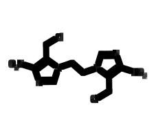 O=[N+]([O-])c1ncn(CCn2cnc([N+](=O)[O-])c2CCl)c1CCl